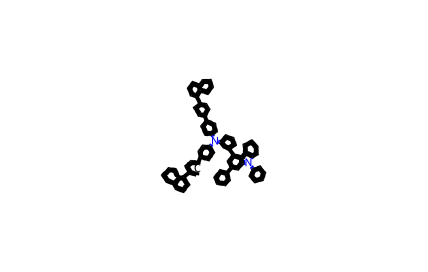 c1ccc(-c2cc(-c3cccc(N(c4ccc(-c5ccc(-c6cccc7ccccc67)cc5)cc4)c4ccc(-c5ccc(-c6cccc7ccccc67)cc5)cc4)c3)c3c4ccccc4n(-c4ccccc4)c3c2)cc1